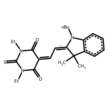 CCCCN1/C(=C/C=C2C(=O)N(CC)C(=S)N(CC)C2=O)C(C)(C)c2ccccc21